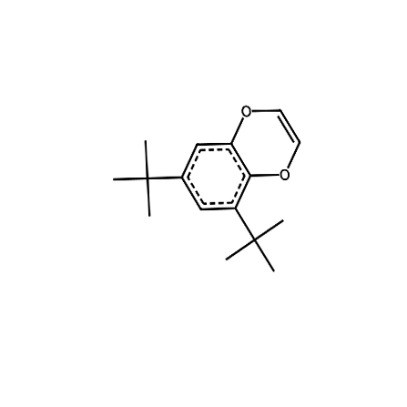 CC(C)(C)c1cc2c(c(C(C)(C)C)c1)OC=CO2